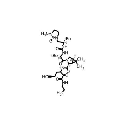 C#CCCC(NC(=O)[C@@H]1C2[C@H](CN1C(=O)[C@@H](NC(=O)N[C@H](CN1CCCN(C)[S+]1[O-])C(C)(C)C)C(C)(C)C)C2(C)C)C(=O)C(=O)NCC=C